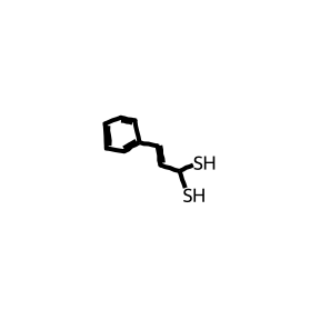 SC(S)/C=C/c1ccccc1